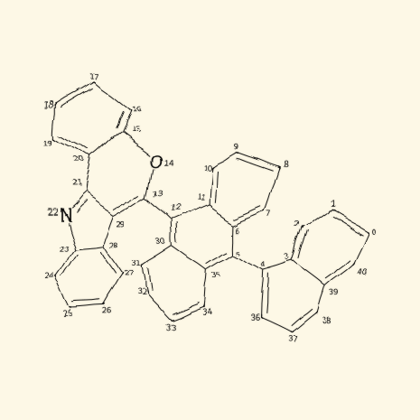 c1ccc2c(-c3c4ccccc4c(-c4oc5ccccc5c5nc6ccccc6c4-5)c4ccccc34)cccc2c1